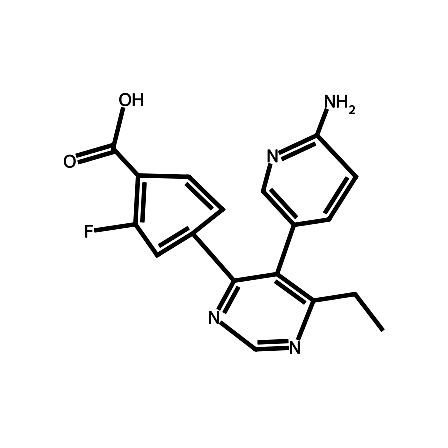 CCc1ncnc(-c2ccc(C(=O)O)c(F)c2)c1-c1ccc(N)nc1